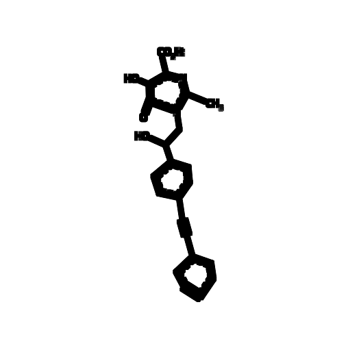 CCOC(=O)c1nc(C)n(CC(O)c2ccc(C#Cc3cc#ccc3)cc2)c(=O)c1O